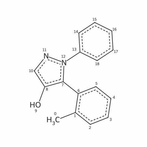 Cc1ccccc1-c1c(O)cnn1-c1ccccc1